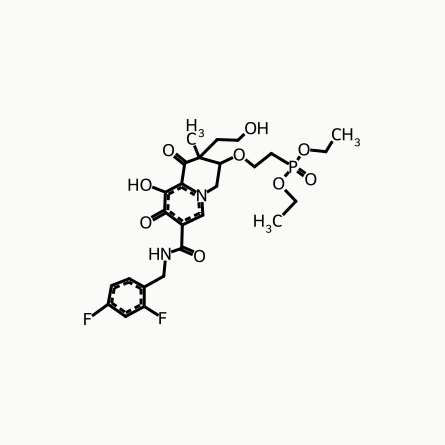 CCOP(=O)(CCOC1Cn2cc(C(=O)NCc3ccc(F)cc3F)c(=O)c(O)c2C(=O)C1(C)CCO)OCC